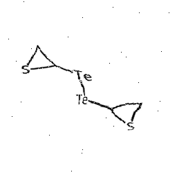 C1SC1[Te][Te]C1CS1